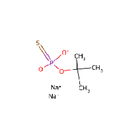 CC(C)(C)OP([O-])([O-])=S.[Na+].[Na+]